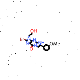 COc1cccc(-c2cn3c(=O)c4nc(Br)n(CCO)c4nc3[nH]2)c1